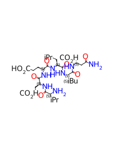 CC[C@H](C)[C@H](NC(=O)[C@H](CC(C)C)NC(=O)[C@H](CCC(=O)O)NC(=O)[C@H](CC(=O)O)NC(=O)[C@@H](N)C(C)C)C(=O)N[C@@H](CC(N)=O)C(=O)O